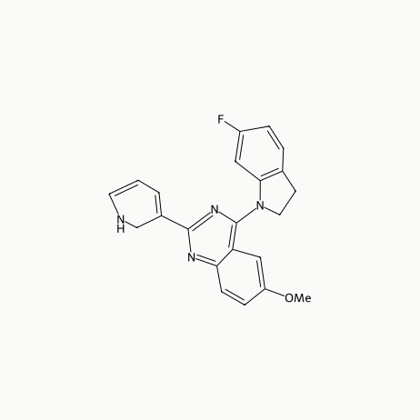 COc1ccc2nc(C3=CC=CNC3)nc(N3CCc4ccc(F)cc43)c2c1